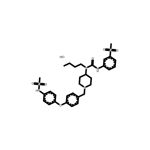 CCCCN(C(=O)Nc1cccc(S(C)(=O)=O)c1)C1CCN(Cc2ccc(Oc3ccc(NS(C)(=O)=O)cc3)cc2)CC1.Cl